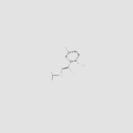 Cc1ccc(C#N)c(/C(N)=C/NC(F)F)c1